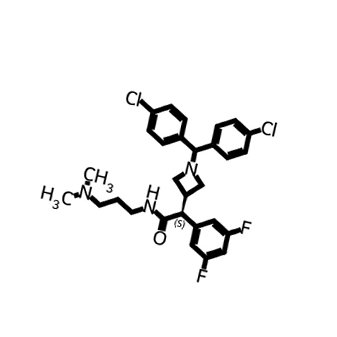 CN(C)CCCNC(=O)[C@H](c1cc(F)cc(F)c1)C1CN(C(c2ccc(Cl)cc2)c2ccc(Cl)cc2)C1